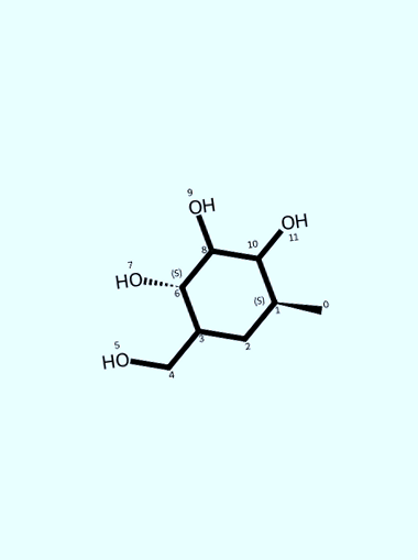 C[C@H]1CC(CO)[C@H](O)C(O)C1O